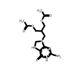 CC(=O)OCC(COC(C)=O)CN1CNc2c1nc(N)[nH]c2=S